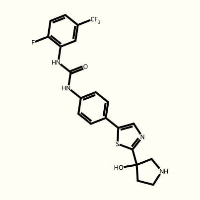 O=C(Nc1ccc(-c2cnc(C3(O)CCNC3)s2)cc1)Nc1cc(C(F)(F)F)ccc1F